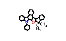 CC1(C)c2ccccc2-c2c1oc1c2c2ccccc2c2c3ccccc3n(-c3ccccc3)c12